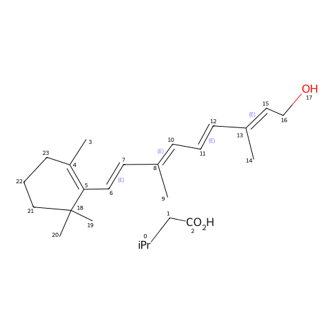 CC(C)CC(=O)O.CC1=C(/C=C/C(C)=C/C=C/C(C)=C/CO)C(C)(C)CCC1